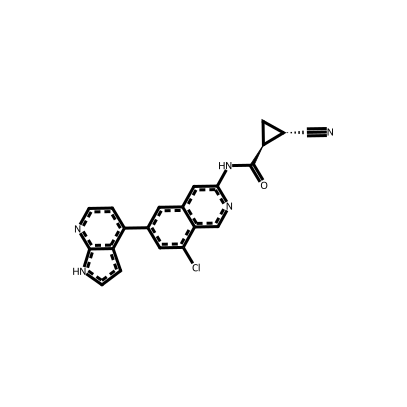 N#C[C@H]1C[C@@H]1C(=O)Nc1cc2cc(-c3ccnc4[nH]ccc34)cc(Cl)c2cn1